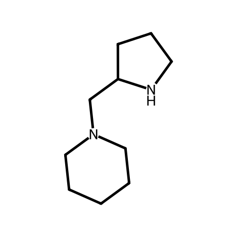 C1CCN(CC2CCCN2)CC1